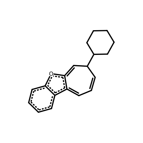 C1=CC(C2CCCCC2)C=c2oc3ccccc3c2=C1